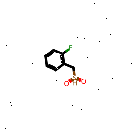 O=[SH](=O)Cc1[c]cccc1F